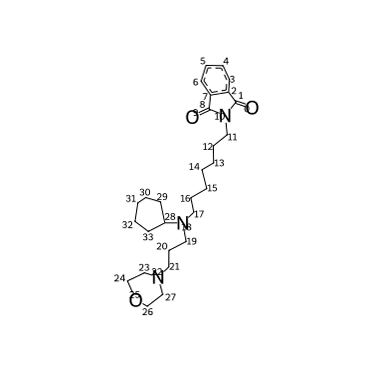 O=C1c2ccccc2C(=O)N1CCCCCCCN(CCCN1CCOCC1)C1CCCCC1